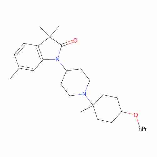 CCCOC1CCC(C)(N2CCC(N3C(=O)C(C)(C)c4ccc(C)cc43)CC2)CC1